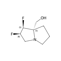 OC[C@]12CCCN1C[C@@H](F)[C@H]2F